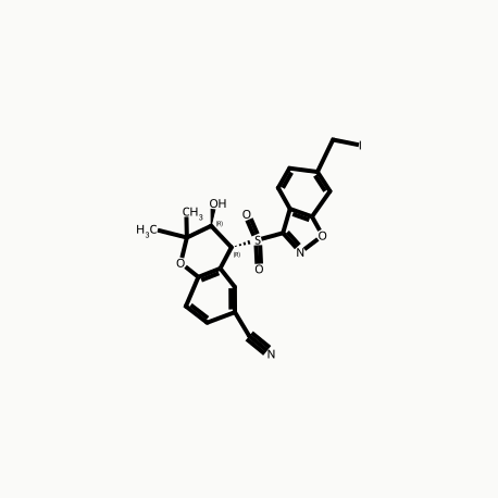 CC1(C)Oc2ccc(C#N)cc2[C@@H](S(=O)(=O)c2noc3cc(CI)ccc23)[C@@H]1O